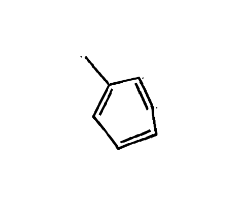 [CH2]c1[c][c]ccc1